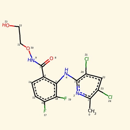 Cc1nc(Nc2c(C(=O)NOCCO)ccc(F)c2F)c(Cl)cc1Cl